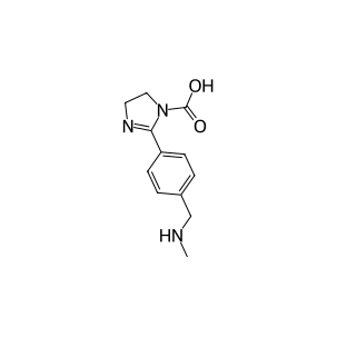 CNCc1ccc(C2=NCCN2C(=O)O)cc1